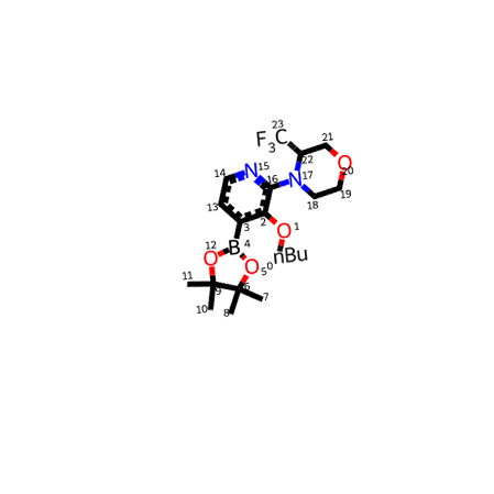 CCCCOc1c(B2OC(C)(C)C(C)(C)O2)ccnc1N1CCOCC1C(F)(F)F